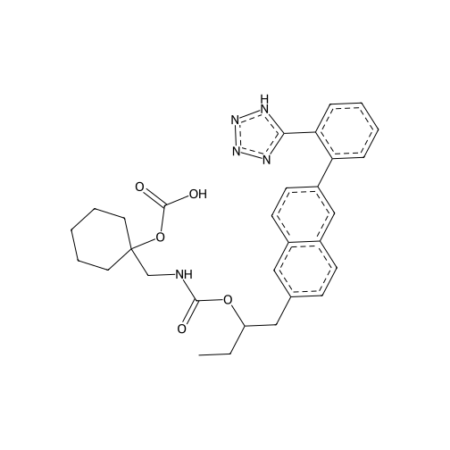 CCC(Cc1ccc2cc(-c3ccccc3-c3nnn[nH]3)ccc2c1)OC(=O)NCC1(OC(=O)O)CCCCC1